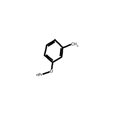 CCCOc1cc[c]c(C)c1